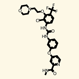 CNC(=O)c1cc(Oc2cccc(NC(=O)Nc3ccc(C(F)(F)F)c(OCCN4CCOCC4)c3Cl)c2)ccn1